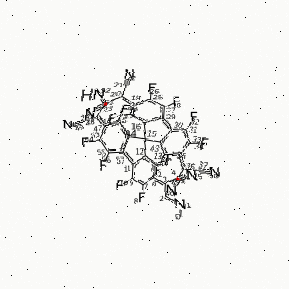 C/N=C/C(C#N)=c1\c(F)c(F)c2c(c1F)C1(c3c(F)c(=C(C#N)C#N)c(F)c(F)c3=c3c(F)c(F)c(=C(C#N)C#N)c(F)c31)c1c(F)/c(=C(/C#N)C=N)c(F)c(F)c1=2